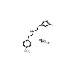 Cl.Cl.Cn1cc[n+](CCNCCc2ccc(N)cc2)c1.[Cl-]